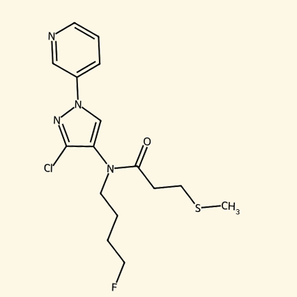 CSCCC(=O)N(CCCCF)c1cn(-c2cccnc2)nc1Cl